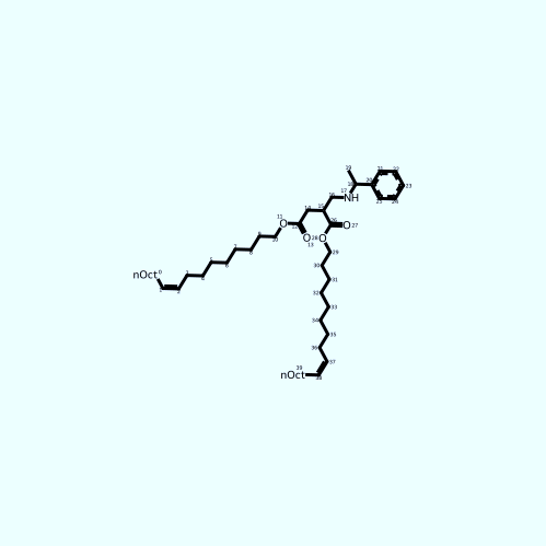 CCCCCCCC/C=C\CCCCCCCCOC(=O)CC(CNC(C)c1ccccc1)C(=O)OCCCCCCCC/C=C\CCCCCCCC